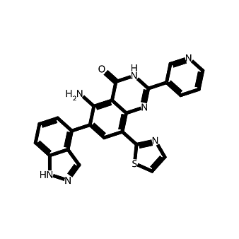 Nc1c(-c2cccc3[nH]ncc23)cc(-c2nccs2)c2nc(-c3cccnc3)[nH]c(=O)c12